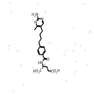 Cc1nc(N)ncc1CCCCc1ccc(C(=O)N[C@@H](CCC(=O)O)C(=O)O)cc1